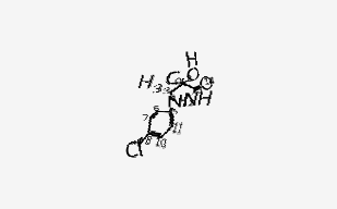 CC1(O)CN(c2ccc(Cl)cc2)NC1=O